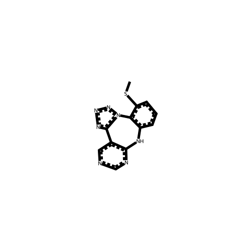 CSc1cccc2c1-n1nnnc1-c1cncnc1N2